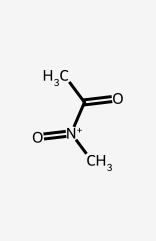 CC(=O)[N+](C)=O